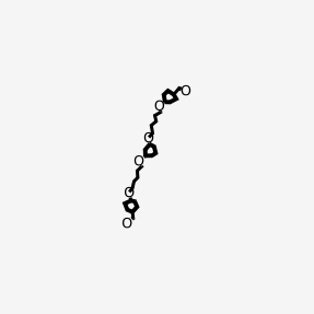 O=Cc1ccc(OCCCCCOc2cccc(OCCCCCOc3ccc(C=O)cc3)c2)cc1